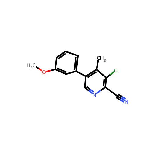 COc1cccc(-c2cnc(C#N)c(Cl)c2C)c1